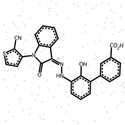 N#Cc1sccc1N1C(=O)/C(=N\Nc2cccc(-c3cccc(C(=O)O)c3)c2O)c2ccccc21